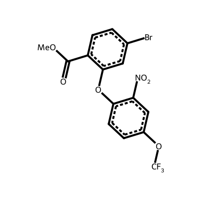 COC(=O)c1ccc(Br)cc1Oc1ccc(OC(F)(F)F)cc1[N+](=O)[O-]